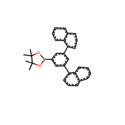 CC1(C)OB(c2cc(-c3cccc4ccccc34)cc(-c3cccc4ccccc34)c2)OC1(C)C